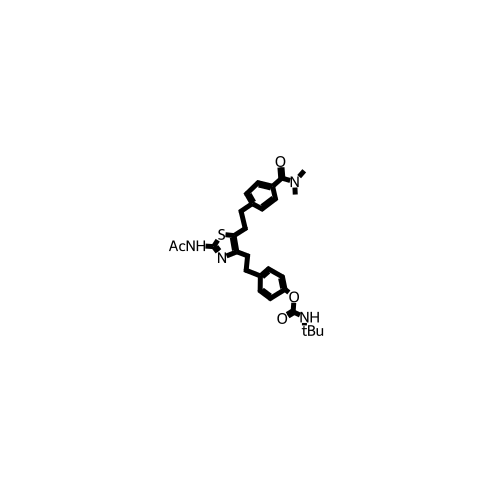 CC(=O)Nc1nc(CCc2ccc(OC(=O)NC(C)(C)C)cc2)c(CCc2ccc(C(=O)N(C)C)cc2)s1